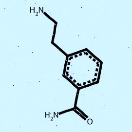 NCCc1cccc(C(N)=O)c1